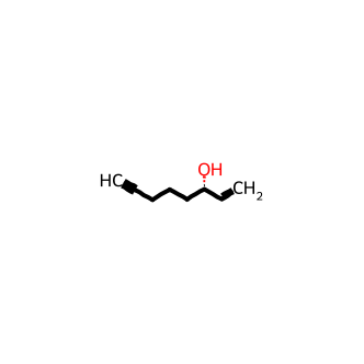 C#CCCC[C@H](O)C=C